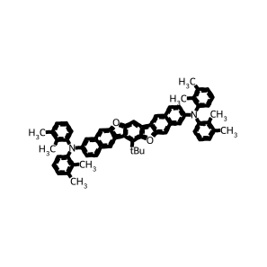 Cc1cccc(N(c2ccc3cc4c(cc3c2)oc2c(C(C)(C)C)c3c(cc24)oc2cc4cc(N(c5cccc(C)c5C)c5cccc(C)c5C)ccc4cc23)c2cccc(C)c2C)c1C